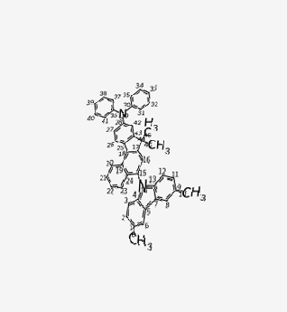 Cc1ccc2c(c1)c1cc(C)ccc1n2-c1cc2c(c3ccccc13)-c1ccc(N(c3ccccc3)c3ccccc3)cc1C2(C)C